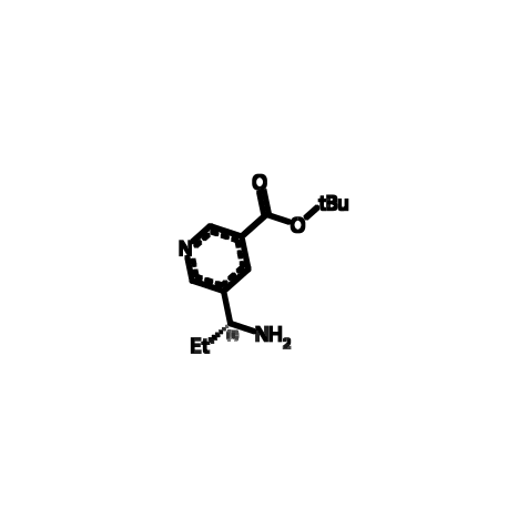 CC[C@@H](N)c1cncc(C(=O)OC(C)(C)C)c1